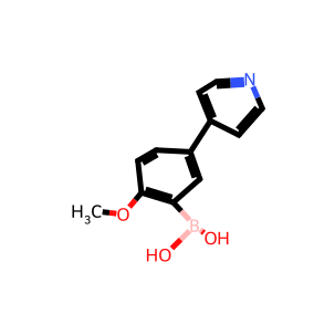 COc1ccc(-c2ccncc2)cc1B(O)O